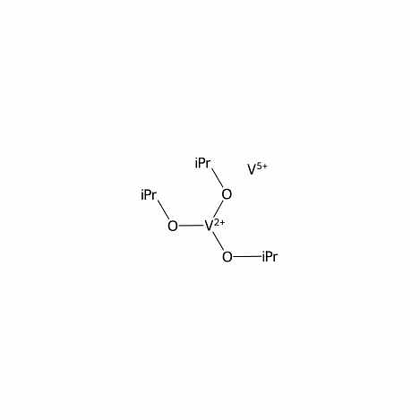 CC(C)[O][V+2]([O]C(C)C)[O]C(C)C.[V+5]